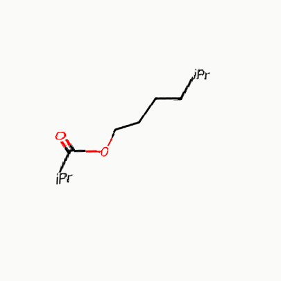 CC(C)CCCCOC(=O)C(C)C